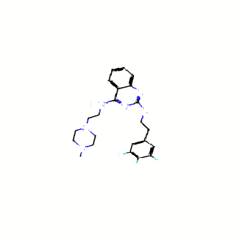 CN1CCN(CCNc2nc(NCCc3cc(F)c(F)c(F)c3)nc3ccccc23)CC1